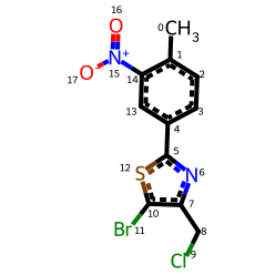 Cc1ccc(-c2nc(CCl)c(Br)s2)cc1[N+](=O)[O-]